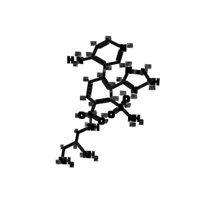 NCC(N)CNS(=O)(=O)c1ccc(-c2cnccc2N)c(-c2nn[nH]n2)c1S(N)(=O)=O